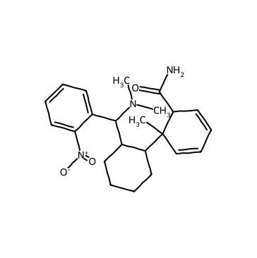 CN(C)C(c1ccccc1[N+](=O)[O-])C1CCCCC1C1(C)C=CC=CC1C(N)=O